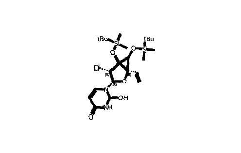 C=C[C@]12O[C@@H](N3C=CC(=O)NC3O)[C@H](Cl)C1(O[Si](C)(C)C(C)(C)C)C2O[Si](C)(C)C(C)(C)C